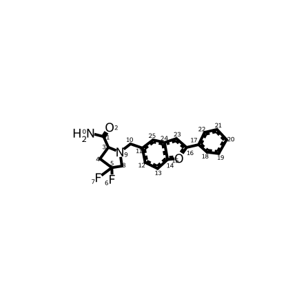 NC(=O)C1CC(F)(F)CN1Cc1ccc2oc(-c3ccccc3)cc2c1